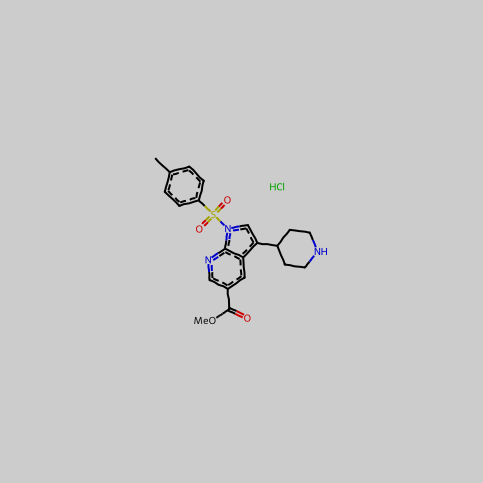 COC(=O)c1cnc2c(c1)c(C1CCNCC1)cn2S(=O)(=O)c1ccc(C)cc1.Cl